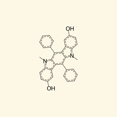 Cn1c2ccc(O)cc2c2c(-c3ccccc3)c3c(c(-c4ccccc4)c21)c1cc(O)ccc1n3C